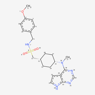 COc1ccc(CNS(=O)(=O)C[C@H]2CC[C@@H](N(C)c3ncnc4[nH]ccc34)CC2)cc1